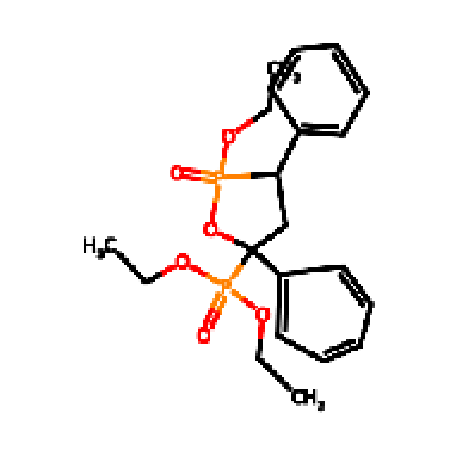 CCOP1(=O)OC(c2ccccc2)(P(=O)(OCC)OCC)CC1c1ccccc1